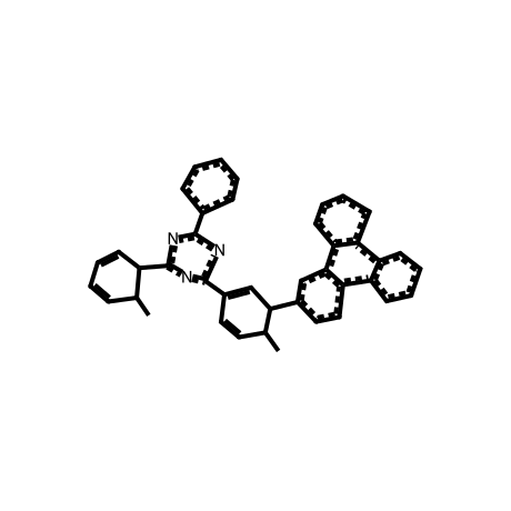 CC1C=CC(c2nc(-c3ccccc3)nc(C3C=CC=CC3C)n2)=CC1c1ccc2c3ccccc3c3ccccc3c2c1